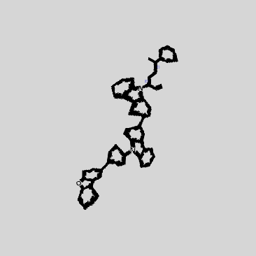 C=C/C(=C\C=C(/C)c1ccccc1)n1c2ccccc2c2cc(-c3ccc4c(c3)c3ccccc3n4-c3ccc(-c4ccc5oc6ccccc6c5c4)cc3)ccc21